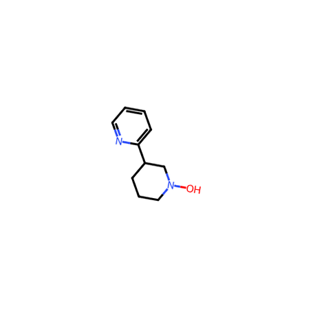 ON1CCCC(c2ccccn2)C1